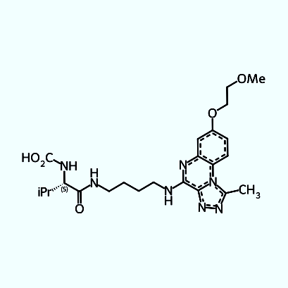 COCCOc1ccc2c(c1)nc(NCCCCNC(=O)[C@@H](NC(=O)O)C(C)C)c1nnc(C)n12